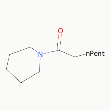 CC[CH]CCCC(=O)N1CCCCC1